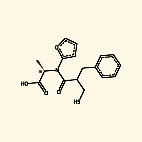 C[C@@H](C(=O)O)N(C(=O)C(CS)Cc1ccccc1)c1ccco1